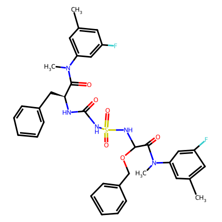 Cc1cc(F)cc(N(C)C(=O)C(NS(=O)(=O)NC(=O)N[C@@H](Cc2ccccc2)C(=O)N(C)c2cc(C)cc(F)c2)OCc2ccccc2)c1